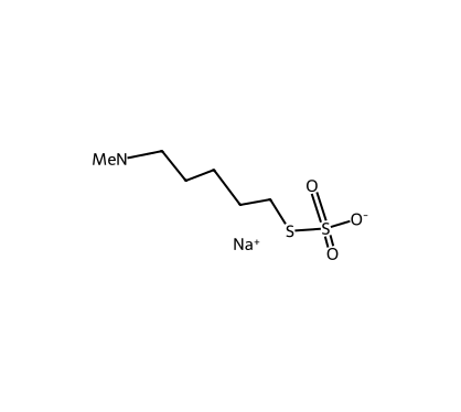 CNCCCCCSS(=O)(=O)[O-].[Na+]